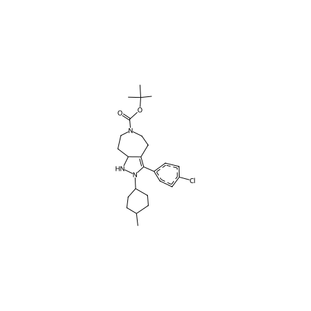 CC1CCC(N2NC3CCN(C(=O)OC(C)(C)C)CCC3=C2c2ccc(Cl)cc2)CC1